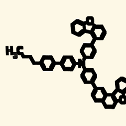 CCCCc1ccc(-c2ccc(N(c3ccc(-c4ccc5ccc6oc7ccccc7c6c5c4)cc3)C3C=CC(c4cccc5oc6ccccc6c45)=CC3)cc2)cc1